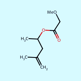 C=C(C)CC(C)OC(=O)COC